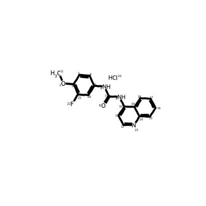 COc1ccc(NC(=O)Nc2ccnc3ccccc23)cc1F.Cl